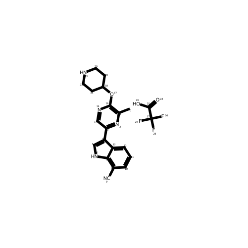 Cc1nc(-c2c[nH]c3c(C#N)cccc23)cnc1OC1CCNCC1.O=C(O)C(F)(F)F